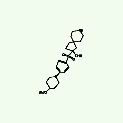 COC1CCN(c2ccc(S(=O)(=O)C3(C=O)CCC4(CCNCC4)C3)cc2)CC1